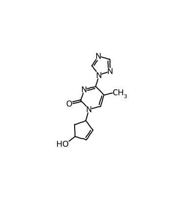 Cc1cn(C2C=CC(O)C2)c(=O)nc1-n1cncn1